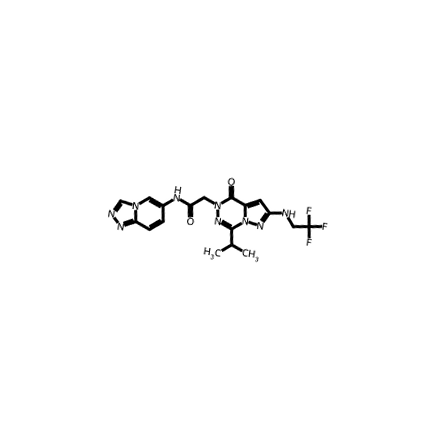 CC(C)c1nn(CC(=O)Nc2ccc3nncn3c2)c(=O)c2cc(NCC(F)(F)F)nn12